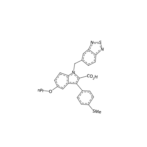 CCCOc1ccc2c(c1)c(-c1ccc(SC)cc1)c(C(=O)O)n2Cc1ccc2nsnc2c1